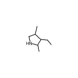 CCC1C(C)CNC1C